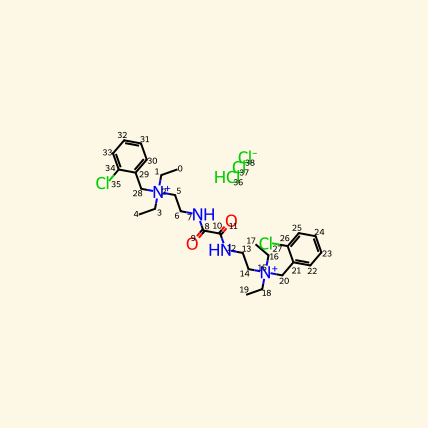 CC[N+](CC)(CCNC(=O)C(=O)NCC[N+](CC)(CC)Cc1ccccc1Cl)Cc1ccccc1Cl.Cl.[Cl-].[Cl-]